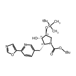 CC(C)(C)OC(=O)N1C[C@H](O[Si](C)(C)C(C)(C)C)[C@@H](O)[C@H]1Cc1ccc(-c2cnco2)nc1